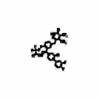 Cc1c(Cc2ccc(F)c(C(=O)N3CCN(c4ccc(F)c(F)c4)C(=O)C3)c2)n[nH]c(=O)c1C(F)(F)F.O=C(O)C(F)(F)F